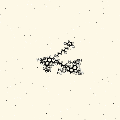 CCN1c2ccc3c(S(=O)(=O)O)cc(S(=O)(=O)O)cc3c2C(C)(C)C1(C)/C=C/C=C/C=C1/N(CCCCCC(=O)CCN2C(=O)CCC2=O)c2ccc3c(S(=O)(=O)O)cc(S(=O)(=O)O)cc3c2C1(C)C